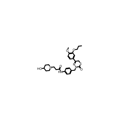 CCCOc1cc(C2=NN(Cc3ccc(NC(=O)CCN4CCC(O)CC4)cc3)C(=O)SC2)ccc1OC